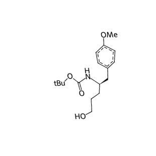 COc1ccc(C[C@@H](CCCO)NC(=O)OC(C)(C)C)cc1